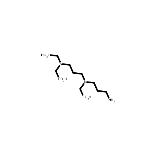 NCCCN(CCCN(CC(=O)O)CC(=O)O)CC(=O)O